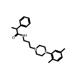 Cc1ccc(C)c(N2CCN(CCCNC(=O)C(C)c3ccccc3)CC2)c1